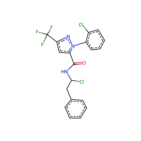 O=C(NC(Cl)Cc1ccccc1)c1cc(C(F)(F)F)nn1-c1ccccc1Cl